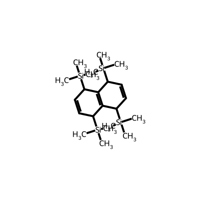 C[Si](C)(C)C1C=CC([Si](C)(C)C)C2=C1C([Si](C)(C)C)C=CC2[Si](C)(C)C